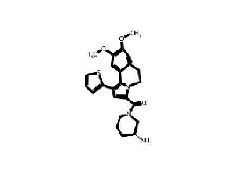 COc1cc2c(cc1OC)-c1c(-c3cccs3)cc(C(=O)N3CCC[C@@H](N)C3)n1CC2